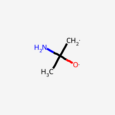 [CH2]C(C)(N)[O]